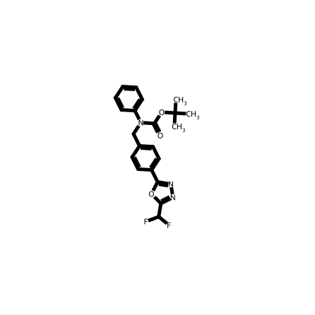 CC(C)(C)OC(=O)N(Cc1ccc(-c2nnc(C(F)F)o2)cc1)c1ccccc1